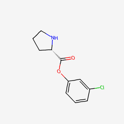 O=C(Oc1cccc(Cl)c1)[C@@H]1CCCN1